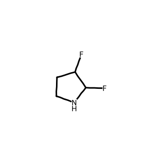 FC1CCNC1F